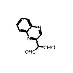 O=CC(C=O)c1cnc2ccccc2n1